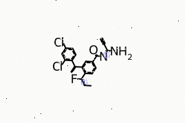 C#C/C(N)=N\C(=O)c1ccc(/C(F)=C\C)c(C(=C)c2ccc(Cl)cc2Cl)c1